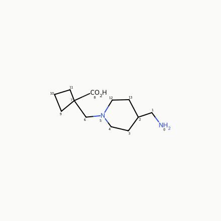 NCC1CCN(CC2(C(=O)O)CCC2)CC1